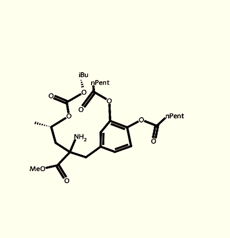 CCCCCC(=O)Oc1ccc(CC(N)(C[C@H](C)OC(=O)O[C@@H](C)CC)C(=O)OC)cc1OC(=O)CCCCC